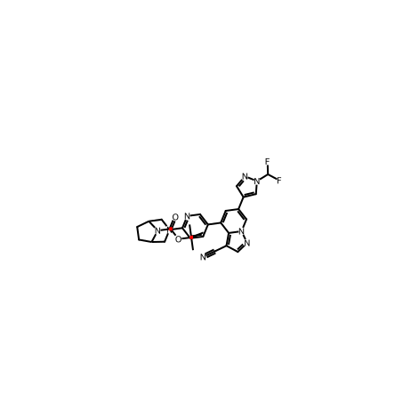 CC(C)(C)OC(=O)N1C2CCC1CN(c1ccc(-c3cc(-c4cnn(C(F)F)c4)cn4ncc(C#N)c34)cn1)C2